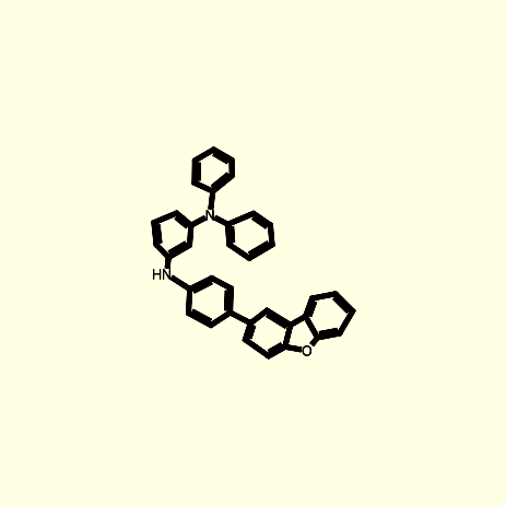 c1ccc(N(c2ccccc2)c2cccc(Nc3ccc(-c4ccc5oc6ccccc6c5c4)cc3)c2)cc1